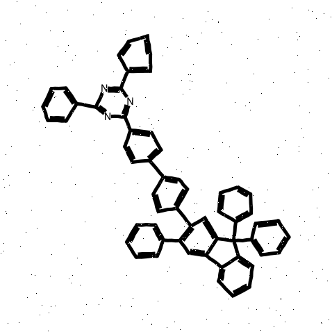 c1ccc(-c2nc(-c3ccccc3)nc(-c3ccc(-c4ccc(-c5cc6c(cc5-c5ccccc5)-c5ccccc5C6(c5ccccc5)c5ccccc5)cc4)cc3)n2)cc1